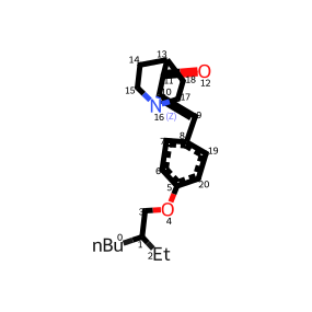 CCCCC(CC)COc1ccc(/C=C2/C(=O)C3CCN2CC3)cc1